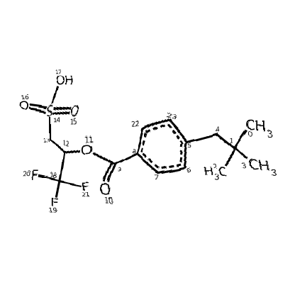 CC(C)(C)Cc1ccc(C(=O)OC(CS(=O)(=O)O)C(F)(F)F)cc1